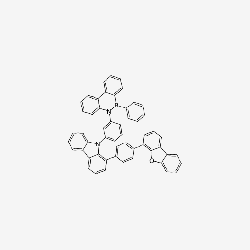 c1ccc(B2c3ccccc3-c3ccccc3N2c2cccc(-n3c4ccccc4c4cccc(-c5ccc(-c6cccc7c6oc6ccccc67)cc5)c43)c2)cc1